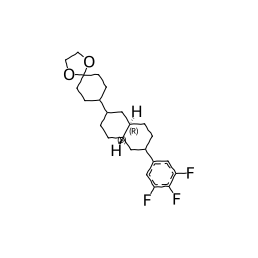 Fc1cc(C2CC[C@@H]3CC(C4CCC5(CC4)OCCO5)CC[C@H]3C2)cc(F)c1F